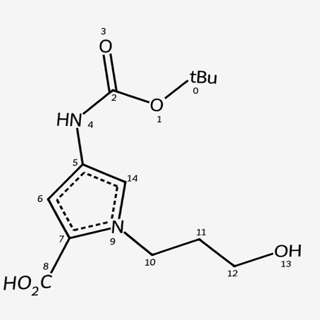 CC(C)(C)OC(=O)Nc1cc(C(=O)O)n(CCCO)c1